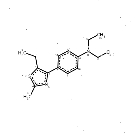 CCc1sc(C)nc1-c1ccc(N(CC)CC)cc1